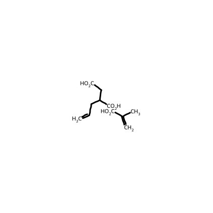 C=C(C)C(=O)O.C=CCC(CC(=O)O)C(=O)O